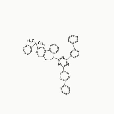 CC1(C)c2ccccc2-c2cc3c(cc21)-c1ccccc1C(c1nc(-c2ccc(-c4ccccc4)cc2)nc(-c2cccc(-c4ccccc4)c2)n1)CC3